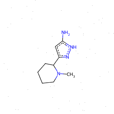 CN1CCCCC1c1cc(N)[nH]n1